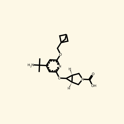 CC(C)(N)c1cc(OCC23CC(C2)C3)nc(OC2[C@H]3CN(C(=O)O)C[C@@H]23)c1